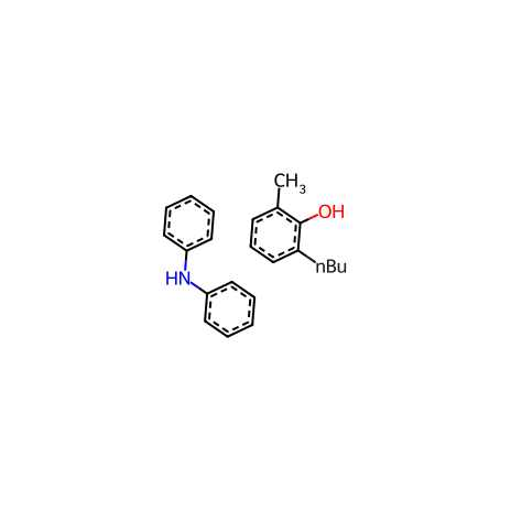 CCCCc1cccc(C)c1O.c1ccc(Nc2ccccc2)cc1